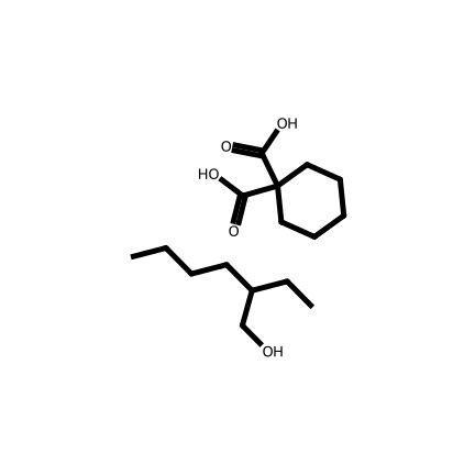 CCCCC(CC)CO.O=C(O)C1(C(=O)O)CCCCC1